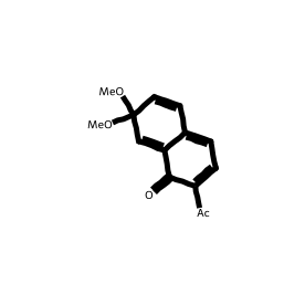 COC1(OC)C=CC2=CC=C(C(C)=O)C(=O)C2=C1